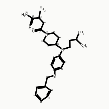 CC(C)CCN(c1ccc(OCc2ccccc2)cc1)C1CCN(C(=O)[CH]C(C)C(N)=O)CC1